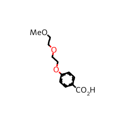 COCCOCCOc1ccc(C(=O)O)cc1